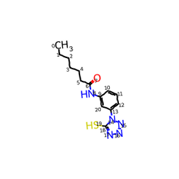 CCCCCCC(=O)Nc1cccc(-n2nnnc2S)c1